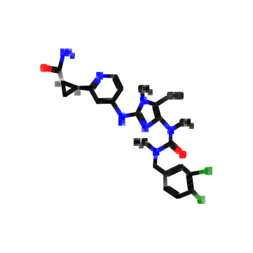 CN(Cc1ccc(Cl)c(Cl)c1)C(=O)N(C)c1nc(Nc2ccnc([C@H]3C[C@@H]3C(N)=O)c2)n(C)c1C=O